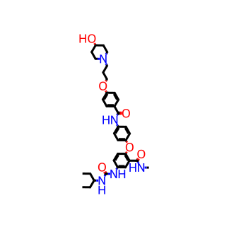 CCC(CC)NC(=O)Nc1ccc(Oc2ccc(NC(=O)c3ccc(OCCCN4CCC(O)CC4)cc3)cc2)c(C(=O)NC)c1